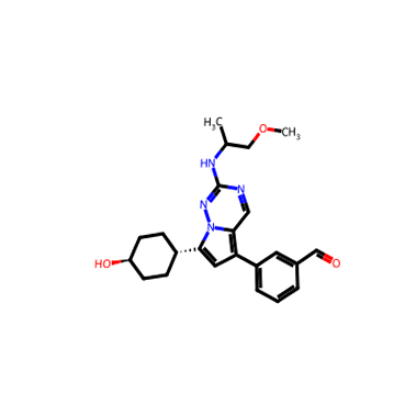 COCC(C)Nc1ncc2c(-c3cccc(C=O)c3)cc([C@H]3CC[C@H](O)CC3)n2n1